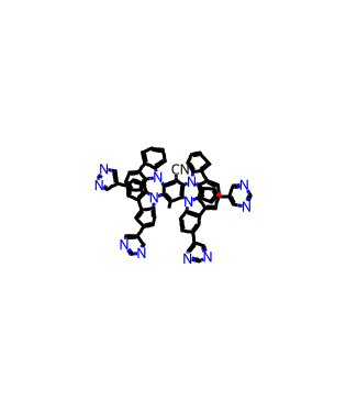 Cc1c(-n2c3ccc(-c4cncnc4)cc3c3cc(-c4cncnc4)ccc32)c(-n2c3ccccc3c3ccccc32)c(C#N)c(-n2c3ccccc3c3ccccc32)c1-n1c2ccc(-c3cncnc3)cc2c2cc(-c3cncnc3)ccc21